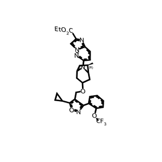 CCOC(=O)c1cn2nc(N3C4CC(OCc5c(-c6ccccc6OC(F)(F)F)noc5C5CC5)CC3[C@H](C)C4)ccc2n1